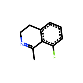 CC1=NCCc2cccc(F)c21